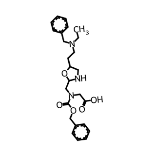 CCN(CCC1CNC(CN(CC(=O)O)C(=O)OCc2ccccc2)O1)Cc1ccccc1